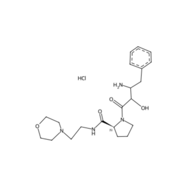 Cl.NC(Cc1ccccc1)C(O)C(=O)N1CCC[C@H]1C(=O)NCCN1CCOCC1